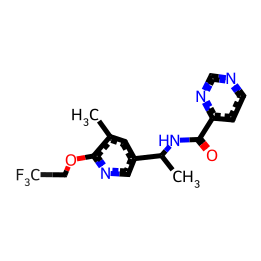 Cc1cc(C(C)NC(=O)c2ccncn2)cnc1OCC(F)(F)F